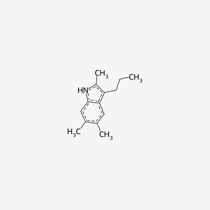 CCCc1c(C)[nH]c2cc(C)c(C)cc12